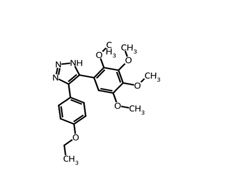 CCOc1ccc(-c2nn[nH]c2-c2cc(OC)c(OC)c(OC)c2OC)cc1